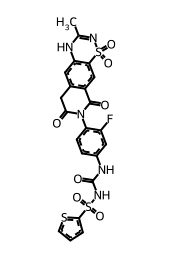 CC1=NS(=O)(=O)c2cc3c(cc2N1)CC(=O)N(c1ccc(NC(=O)NS(=O)(=O)c2cccs2)cc1F)C3=O